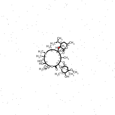 CC[C@H]1OC(=O)[C@H](C)[C@@H](O[C@H]2C[C@@](C)(OC)[C@@H](O)[C@H](C)O2)[C@H](C)[C@@H](O[C@@H]2O[C@H](C)C[C@H](N(C)C)[C@H]2O)[C@@](O)(CC)C[C@@H](C)CN(C)[C@H](C)[C@@H](O)[C@]1(C)O